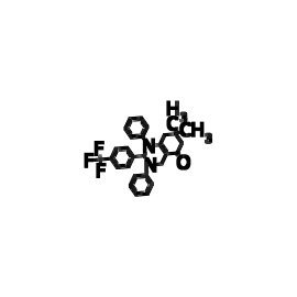 CC1(C)CC(=O)C2=C(C1)N(c1ccccc1)C(c1ccc(C(F)(F)F)cc1)N(c1ccccc1)C2